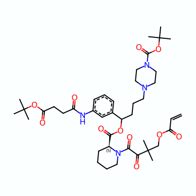 C=CC(=O)OCC(C)(C)C(=O)C(=O)N1CCCC[C@H]1C(=O)OC(CCCN1CCN(C(=O)OC(C)(C)C)CC1)c1cccc(NC(=O)CCC(=O)OC(C)(C)C)c1